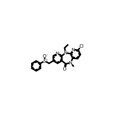 CCN1c2ncc(C[S+]([O-])c3ccccc3)cc2C(=O)N(C)c2ccc(Cl)nc21